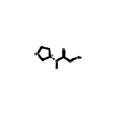 CCCCOC(=O)N(C)[C@H]1CCNC1